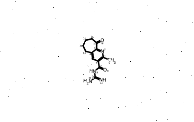 Cc1nc2c(cc1C(=O)NC(=N)N)CCCCC2=O